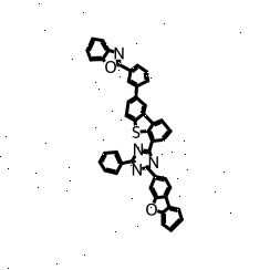 c1ccc(-c2nc(-c3ccc4c(c3)oc3ccccc34)nc(-c3cccc4c3sc3ccc(-c5cccc(-c6nc7ccccc7o6)c5)cc34)n2)cc1